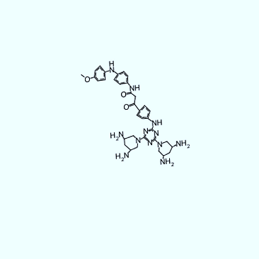 COc1ccc(Nc2ccc(NC(=O)CC(=O)c3ccc(Nc4nc(N5C[C@H](N)C[C@H](N)C5)nc(N5C[C@H](N)C[C@H](N)C5)n4)cc3)cc2)cc1